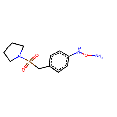 NONc1ccc(CS(=O)(=O)N2CCCC2)cc1